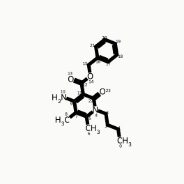 CCCCn1c(C)c(C)c(N)c(C(=O)OCc2ccccc2)c1=O